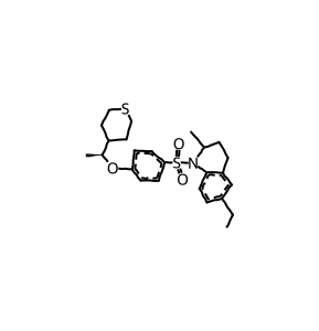 CCc1ccc2c(c1)CCC(C)N2S(=O)(=O)c1ccc(O[C@@H](C)C2CCSCC2)cc1